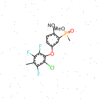 COP(C)(=O)c1cc(Oc2c(F)c(F)c(C)c(F)c2Cl)ccc1[N+](=O)[O-]